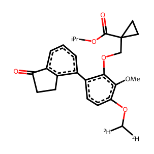 [2H]C([2H])Oc1ccc(-c2cccc3c2CCC3=O)c(OCC2(C(=O)OC(C)C)CC2)c1OC